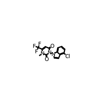 Cn1c(C(F)(F)F)cc(=O)n(-n2ccc3c(Cl)cccc32)c1=O